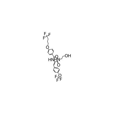 O=C(NCCO)/C(=C\c1ccc(OC(F)(F)F)cc1)NC(=O)c1ccc(OCCCC(F)(F)F)cc1